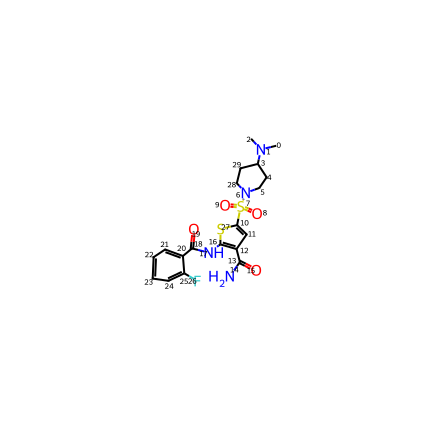 CN(C)C1CCN(S(=O)(=O)c2cc(C(N)=O)c(NC(=O)c3ccccc3F)s2)CC1